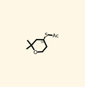 CC(=O)S[C@H]1CCOC(C)(C)C1